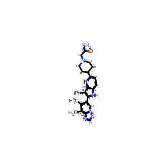 Cc1c(-c2[nH]c3ccc(C4CCN(CC(N)=O)CC4)nc3c2C(C)C)cn2ncnc2c1C